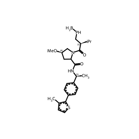 BPC[C@H](C(=O)N1C[C@H](OC)CC1C(=O)N[C@@H](C)c1ccc(-c2sccc2C)cc1)C(C)C